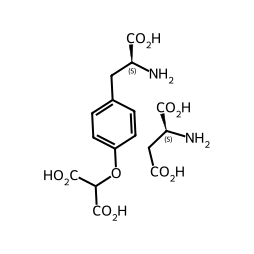 N[C@@H](CC(=O)O)C(=O)O.N[C@@H](Cc1ccc(OC(C(=O)O)C(=O)O)cc1)C(=O)O